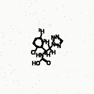 [2H]c1ccc(Cl)c([C@@]([2H])(NC(=O)O)C([2H])([2H])n2ncnn2)c1